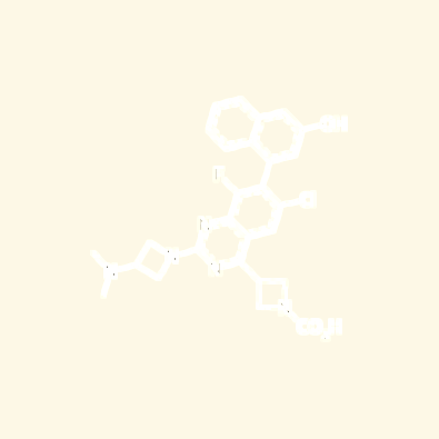 CN(C)C1CN(c2nc(C3CN(C(=O)O)C3)c3cc(Cl)c(-c4cc(O)cc5ccccc45)c(F)c3n2)C1